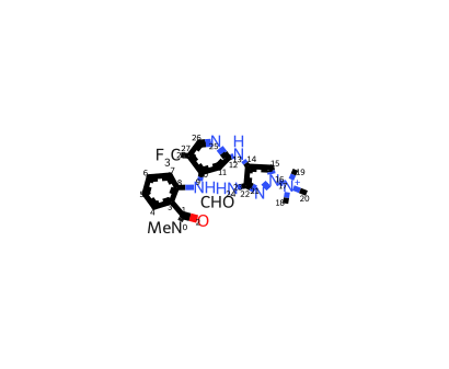 CNC(=O)c1ccccc1Nc1cc(Nc2cn([N+](C)(C)C)nc2NC=O)ncc1C(F)(F)F